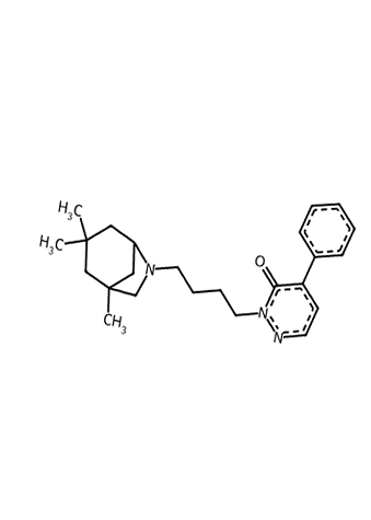 CC1(C)CC2CC(C)(CN2CCCCn2nccc(-c3ccccc3)c2=O)C1